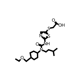 CCOCC1CCC(N(CCC(C)C)C(=O)Nc2ncc(SCC(=O)O)s2)CC1